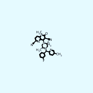 Cc1ccc(C(c2cccc(F)c2)N2C[C@H](C)N(c3c(C#N)c(=O)n(C)c4ccc(C#N)nc34)C[C@H]2C)nc1